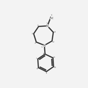 CC(=O)N1CCCN(c2cc[c]cc2)CC1